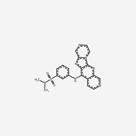 CN(C)S(=O)(=O)c1cccc(Nc2c3ccncc3nc3c2nc2cnccn23)c1